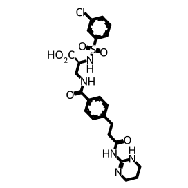 O=C(CCc1ccc(C(=O)NC[C@H](NS(=O)(=O)c2cccc(Cl)c2)C(=O)O)cc1)NC1=NCCCN1